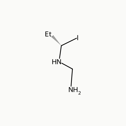 CC[C@H](I)NCN